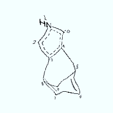 [c]1[nH]cc2c1C1=CC=C2C1